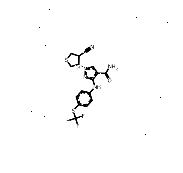 N#CC1CSC[C@H]1n1cc(C(N)=O)c(Nc2ccc(SC(F)(F)F)cc2)n1